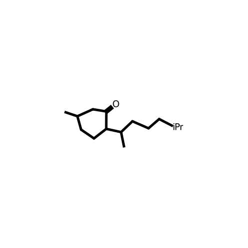 CC(C)CCCC(C)C1CCC(C)CC1=O